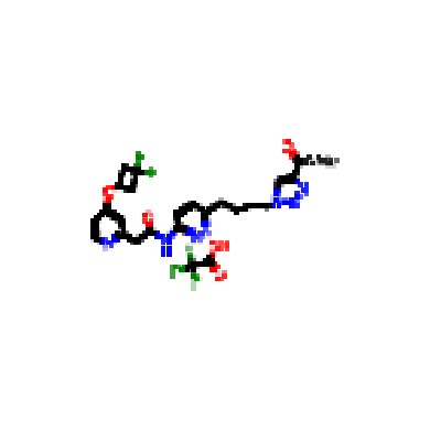 CNC(=O)c1cn(CCCCc2ccc(NC(=O)Cc3cc(OC4CC(F)(F)C4)ccn3)nn2)nn1.O=C(O)C(F)(F)F